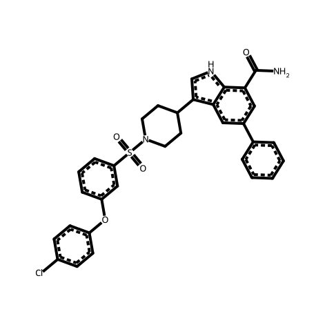 NC(=O)c1cc(-c2ccccc2)cc2c(C3CCN(S(=O)(=O)c4cccc(Oc5ccc(Cl)cc5)c4)CC3)c[nH]c12